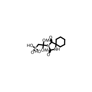 COC(CP(=O)(O)O)(OC)N1C(=O)NC2(CCCCC2)C1=O